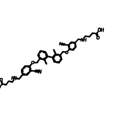 Cc1c(COc2ccc(CNCCCC(=O)O)cc2C#N)cccc1-c1cccc(COc2ccc(CNCCCC(=O)O)cc2C#N)c1C